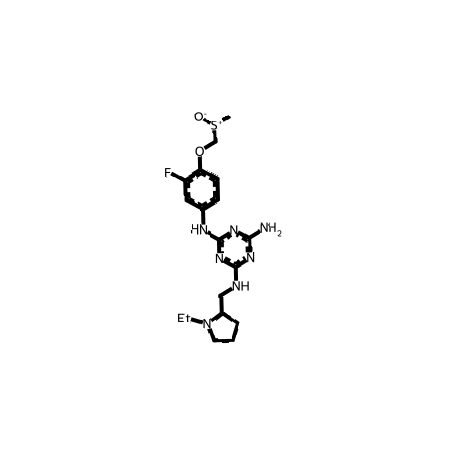 CCN1CCCC1CNc1nc(N)nc(Nc2ccc(OC[S+](C)[O-])c(F)c2)n1